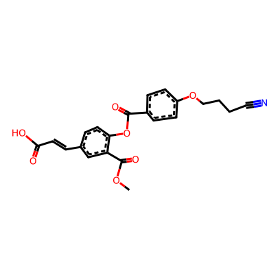 COC(=O)c1cc(/C=C/C(=O)O)ccc1OC(=O)c1ccc(OCCCC#N)cc1